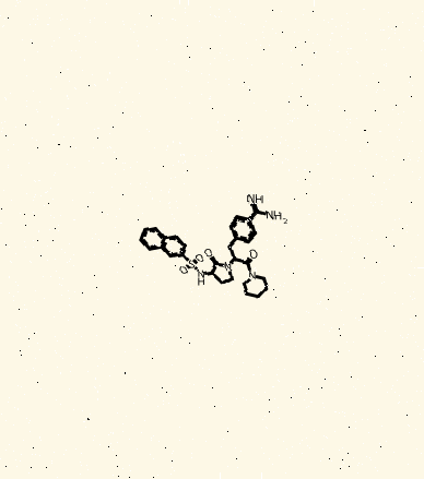 N=C(N)c1ccc(CC(C(=O)N2CCCCC2)N2CCC(NS(=O)(=O)c3ccc4ccccc4c3)C2=O)cc1